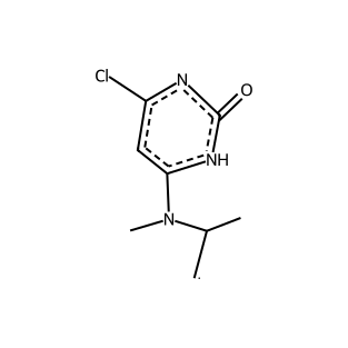 [CH2]C(C)N(C)c1cc(Cl)nc(=O)[nH]1